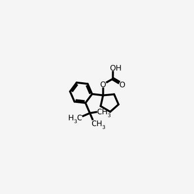 CC(C)(C)c1ccccc1C1(OC(=O)O)CCCC1